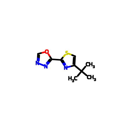 CC(C)(C)c1csc(-c2nnco2)n1